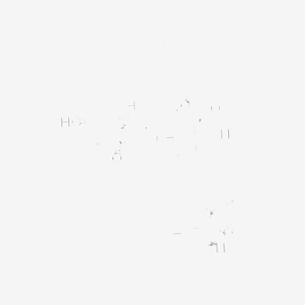 CC(C)(CCC[C@@](C)(C(=O)OCc1ccccc1)c1cccc(C[C@@H]2COC(C)(C)O2)c1)CS(=O)(=O)CCO